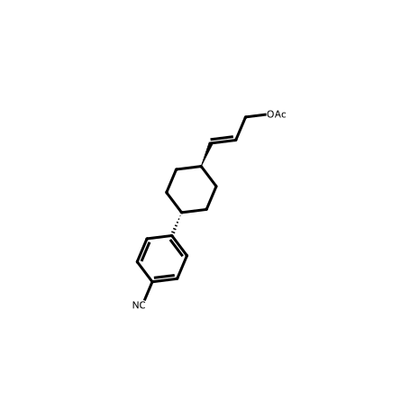 CC(=O)OCC=C[C@H]1CC[C@H](c2ccc(C#N)cc2)CC1